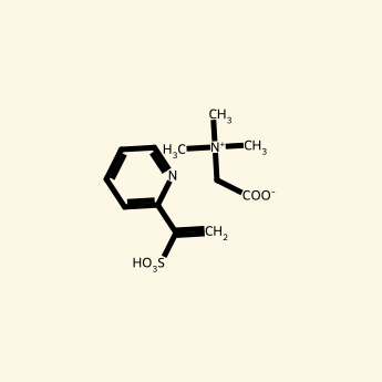 C=C(c1ccccn1)S(=O)(=O)O.C[N+](C)(C)CC(=O)[O-]